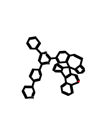 C1=Cc2ccc(-c3nc(-c4ccccc4)cc(-c4ccc(-c5cccnc5)cc4)n3)cc2C2(c3ccccc31)c1ccccc1-c1c2c2ccccc2c2ccccc12